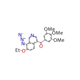 CCOc1ccc2c(C(=O)c3cc(OC)c(OC)c(OC)c3)cncc2c1N=[N+]=[N-]